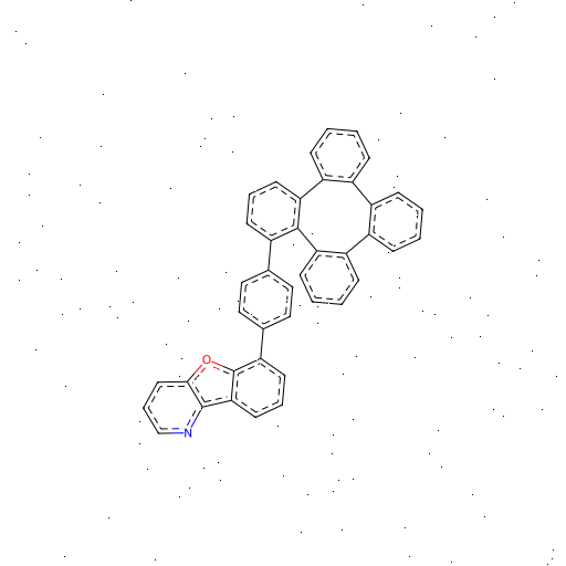 c1ccc2c(c1)-c1ccccc1-c1cccc(-c3ccc(-c4cccc5c4oc4cccnc45)cc3)c1-c1ccccc1-2